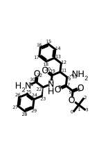 CC(C)(C)OC(=O)C(=O)[C@@H](N)C(Cc1ccccc1)C(=O)N[C@@H](Cc1ccccc1)C(N)=O